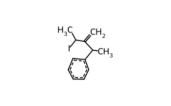 C=C(C(C)I)C(C)c1ccccc1